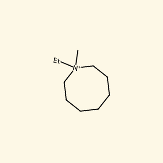 CC[N+]1(C)CCCCCCC1